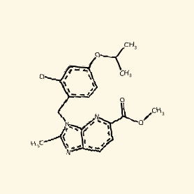 COC(=O)c1ccc2nc(C)n(Cc3ccc(OC(C)C)cc3Cl)c2n1